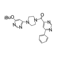 CC(C)COc1cc(N2CCN(C(=O)c3cc(-c4ccccc4)ncn3)CC2)ncn1